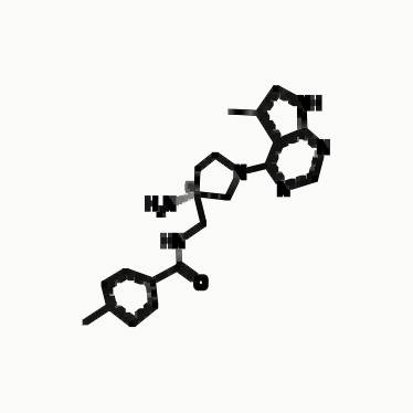 Cc1ccc(C(=O)NC[C@@]2(N)CCN(c3ncnc4[nH]cc(C)c34)C2)cc1